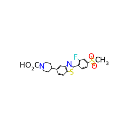 CS(=O)(=O)c1ccc(-c2nc3cc(C4CCN(C(=O)O)CC4)ccc3s2)c(F)c1